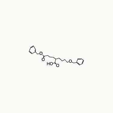 O=C(CCCC(CCCCOCc1ccccc1)C(=O)O)OCc1ccccc1